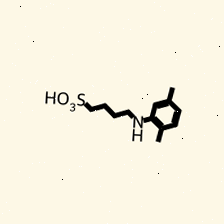 Cc1ccc(C)c(NCCCCS(=O)(=O)O)c1